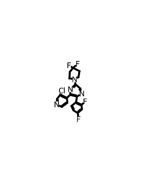 Fc1ccc(-c2ncc(N3CCC(F)(F)CC3)nc2-c2ccncc2Cl)c(F)c1